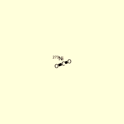 O=C=O.[273Ni]